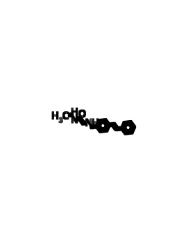 CCNC(=O)CNCc1ccc(C=Cc2ccccc2)cc1